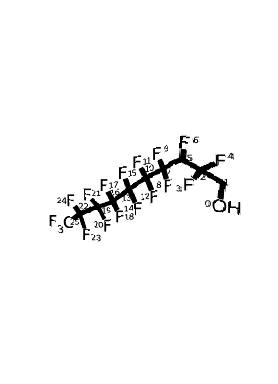 OCC(F)(F)C(F)C(F)(F)C(F)(F)C(F)(F)C(F)(F)C(F)(F)C(F)(F)C(F)(F)F